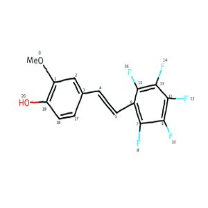 COc1cc(C=Cc2c(F)c(F)c(F)c(F)c2F)ccc1O